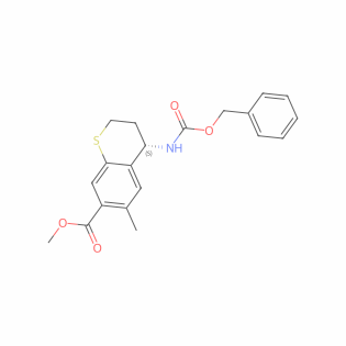 COC(=O)c1cc2c(cc1C)[C@@H](NC(=O)OCc1ccccc1)CCS2